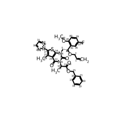 C=CCO[C@H](Cn1c(=O)n(C(C)C(=O)OCc2ccccc2)c(=O)c2c(C)c(-n3nccn3)sc21)c1cc(F)ccc1OC